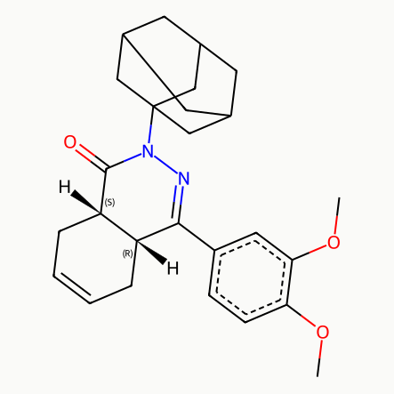 COc1ccc(C2=NN(C34CC5CC(CC(C5)C3)C4)C(=O)[C@H]3CC=CC[C@@H]23)cc1OC